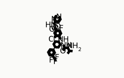 CC(C)[C@H](N)C(=O)N[C@H]1C[C@@H](c2cccc(C(F)(F)F)c2)CC[C@@H]1Nc1cc(F)c(S(=O)(=O)Nc2ccncn2)cc1Cl